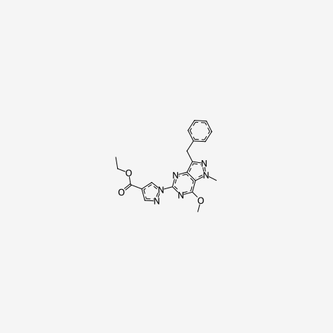 CCOC(=O)c1cnn(-c2nc(OC)c3c(n2)c(Cc2ccccc2)nn3C)c1